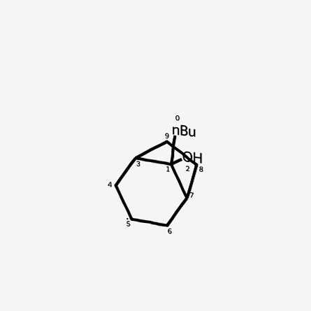 CCCCC1(O)C2C[CH]CC1CC2